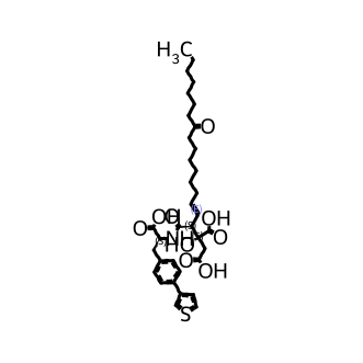 CCCCCCCC(=O)CCCCCC/C=C/[C@H](C(=O)N[C@@H](Cc1ccc(-c2ccsc2)cc1)C(=O)O)[C@@](O)(CC(=O)O)C(=O)O